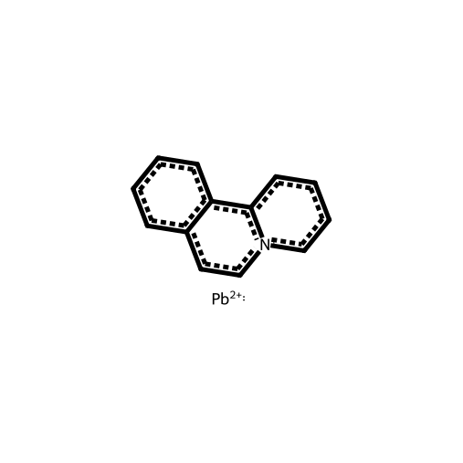 [Pb+2].c1ccc2c(c1)cc[n+]1ccccc21